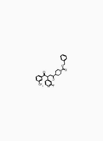 O=C(CC(C(=O)c1cccc(C(F)(F)F)c1)c1ccnc(F)c1)C1CCN(C(=O)OCc2ccccc2)CC1